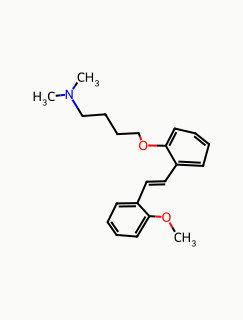 COc1ccccc1C=Cc1ccccc1OCCCCN(C)C